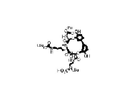 CN1C(=O)[C@H](CCCCNC(=O)OC(C)(C)C)NC(=O)[C@@H](NC(=O)OC(C)(C)C)Cc2cc(ccc2O)-c2ccc(O)c(c2)C[C@H]1C(=O)NCCN(C(=O)O)C(C)(C)C